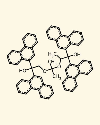 CC(OC(C)(C)OCC(O)(c1cc2ccccc2c2ccccc12)c1cc2ccccc2c2ccccc12)C(O)(c1cc2ccccc2c2ccccc12)c1cc2ccccc2c2ccccc12